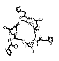 O=C(Cc1cccs1)N[C@H]1CC[C@H]2CC(=O)OB(O2)[C@@H](NC(=O)Cc2cccs2)CC[C@H]2CC(=O)OB(O2)[C@@H](NC(=O)Cc2cccs2)CC[C@H]2CC(=O)OB1O2